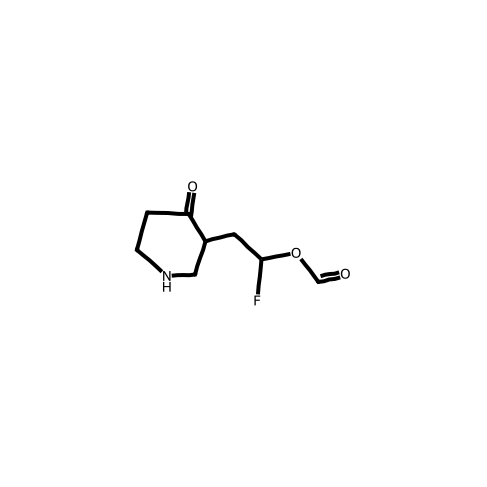 O=COC(F)CC1CNCCC1=O